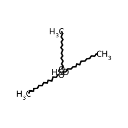 CCCCCCCCCCCCCCO[SiH](OCCCCCCCCCCCCCC)OCCCCCCCCCCCCCC